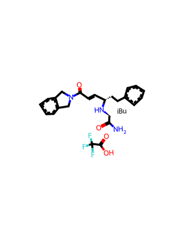 CC[C@H](C)[C@H](N[C@H](/C=C/C(=O)N1Cc2ccccc2C1)CCc1ccccc1)C(N)=O.O=C(O)C(F)(F)F